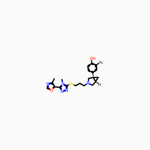 CC(=O)c1cc([C@@]23C[C@@H]2CN(CCCSc2nnc(-c4ocnc4C)n2C)C3)ccc1O